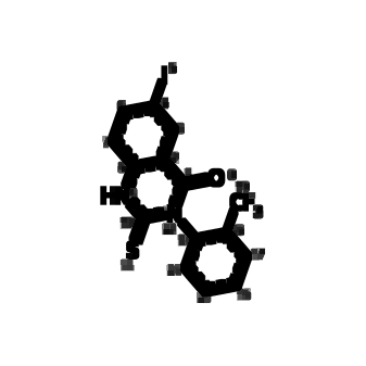 O=c1c2cc(I)ccc2[nH]c(=S)n1-c1ccccc1C(F)(F)F